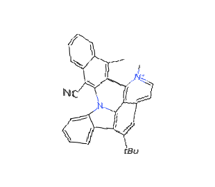 Cc1c2ccccc2c(C#N)c2c1c1c3c(cc[n+]1C)cc(C(C)(C)C)c1c4ccccc4n2c13